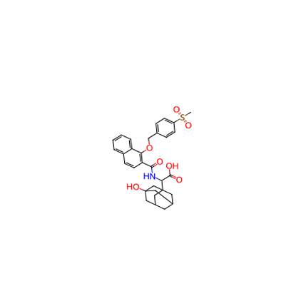 CS(=O)(=O)c1ccc(COc2c(C(=O)NC(C(=O)O)C34CC5CC(CC(O)(C5)C3)C4)ccc3ccccc23)cc1